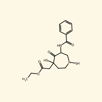 CCOC(=O)CC1(S)CCN(S)CC(NC(=O)c2ccccc2)C1=O